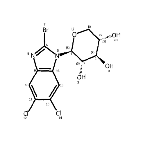 O[C@H]1[C@H](O)[C@@H](n2c(Br)nc3cc(Cl)c(Cl)cc32)OC[C@@H]1O